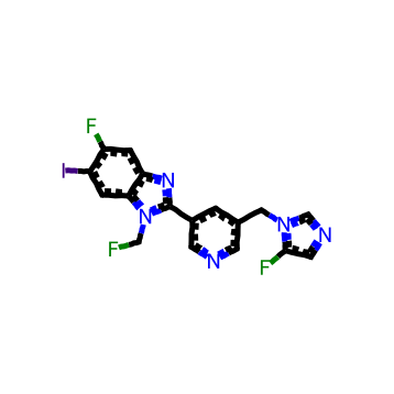 FCn1c(-c2cncc(Cn3cncc3F)c2)nc2cc(F)c(I)cc21